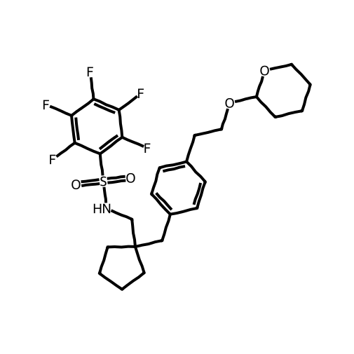 O=S(=O)(NCC1(Cc2ccc(CCOC3CCCCO3)cc2)CCCC1)c1c(F)c(F)c(F)c(F)c1F